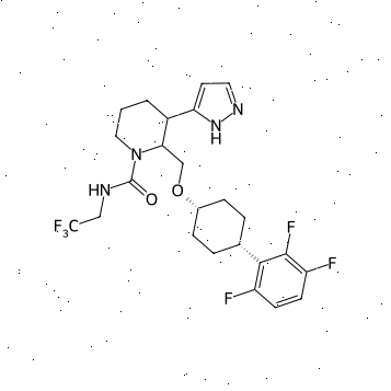 O=C(NCC(F)(F)F)N1CCCC(c2ccn[nH]2)C1CO[C@H]1CC[C@@H](c2c(F)ccc(F)c2F)CC1